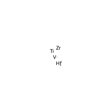 [Hf].[Ti].[V].[Zr]